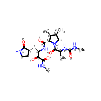 CCNC(=O)C(=O)[C@H](C[C@@H]1CCNC1=O)NC(=O)[C@@H]1[C@@H](C(C)C)[C@@H](C)CN1C(=O)[C@@H](NC(=O)NC(C)(C)C)C(C)(C)C